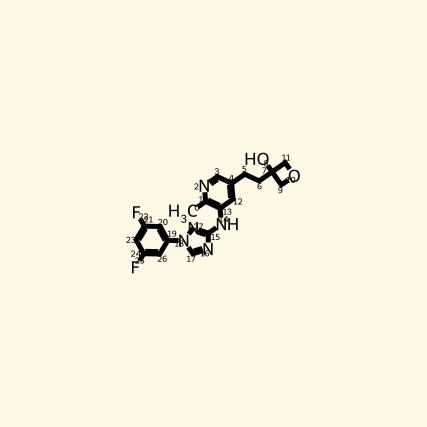 Cc1ncc(CCC2(O)COC2)cc1Nc1ncn(-c2cc(F)cc(F)c2)n1